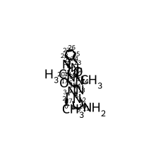 CC#CCn1c(N2CCC[C@@H](N)C2)nc2c1c(=O)n(C(C)c1ncc3ccccc3n1)c(=O)n2C